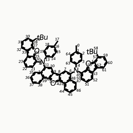 Cc1ccc(N(c2cc3c4cc(N(c5ccc(C)cc5)c5cccc6c5oc5c(C(C)(C)C)cccc56)c5ccccc5c4oc3c3ccccc23)c2cccc3c2oc2c(C(C)(C)C)cccc23)cc1